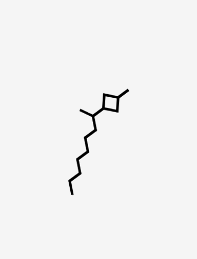 CCCCCCCC(C)C1CC(C)C1